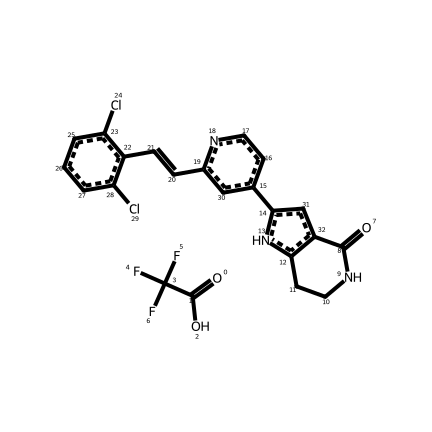 O=C(O)C(F)(F)F.O=C1NCCc2[nH]c(-c3ccnc(C=Cc4c(Cl)cccc4Cl)c3)cc21